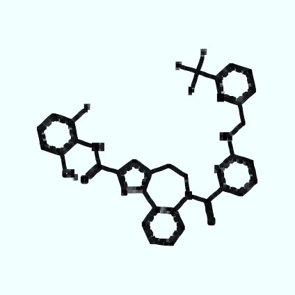 Cc1cccc(F)c1NC(=O)c1cc2c(s1)-c1ccccc1N(C(=O)c1cccc(NCc3cccc(C(F)(F)F)n3)n1)CC2